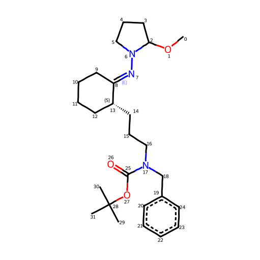 COC1CCCN1/N=C1\CCCC[C@H]1CCCN(Cc1ccccc1)C(=O)OC(C)(C)C